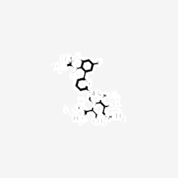 C=N/C(=C(C)/C=N\C)N(CNc1cccc(-c2cc(F)cc(C)c2N(C)C(=C)C)n1)C(CC)C(=C)NC